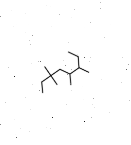 CCC(C)C(C)CC(C)(C)CC